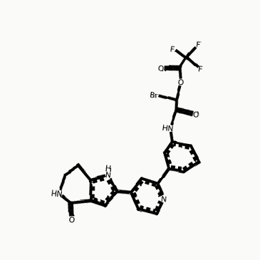 O=C1NCCc2[nH]c(-c3ccnc(-c4cccc(NC(=O)C(Br)OC(=O)C(F)(F)F)c4)c3)cc21